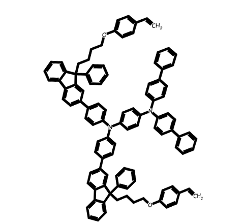 C=Cc1ccc(OCCCCC2(c3ccccc3)c3ccccc3-c3ccc(-c4ccc(N(c5ccc(-c6ccc7c(c6)C(CCCCOc6ccc(C=C)cc6)(c6ccccc6)c6ccccc6-7)cc5)c5ccc(N(c6ccc(-c7ccccc7)cc6)c6ccc(-c7ccccc7)cc6)cc5)cc4)cc32)cc1